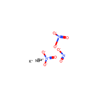 O=N[O-].O=[N+]([O-])[O-].O=[N+]([O-])[O-].[K+].[Na+].[Na+]